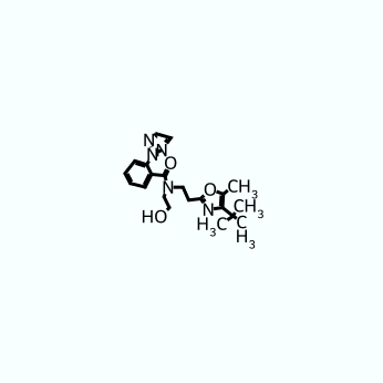 Cc1oc(CCN(CCO)C(=O)c2ccccc2-n2nccn2)nc1C(C)(C)C